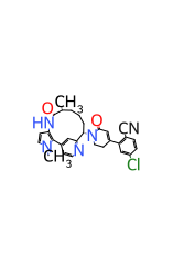 C[C@@H]1CCC[C@H](N2CCC(c3cc(Cl)ccc3C#N)=CC2=O)c2cc(ccn2)-c2c(ccn2C)NC1=O